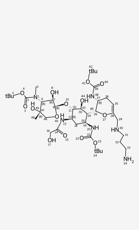 CN(C(=O)OC(C)(C)C)[C@@H]1[C@@H](O)[C@@H](O[C@H]2[C@H](NC(=O)CO)C[C@H](NC(=O)OC(C)(C)C)C([C@H]3OC(CNCCCN)=CC[C@H]3NC(=O)OC(C)(C)C)[C@@H]2O)OC[C@]1(C)O